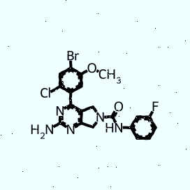 COc1cc(-c2nc(N)nc3c2CN(C(=O)Nc2cccc(F)c2)C3)c(Cl)cc1Br